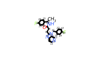 C[C@H](NC(=O)CCc1nc2ccncc2n1Cc1ccc(F)cc1)c1ccc(F)cc1